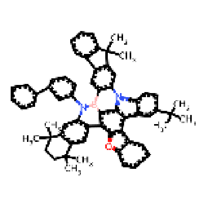 CC(C)(C)c1ccc2c(c1)c1c3c(oc4ccccc43)c3c4c1n2-c1cc2c(cc1B4N(c1cccc(-c4ccccc4)c1)c1cc4c(cc1-3)C(C)(C)CCC4(C)C)-c1ccccc1C2(C)C